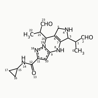 CC(C=O)C1NCC2=C1Nc1cc(C(=O)NC3CC3)nn1C2C(C)C=O